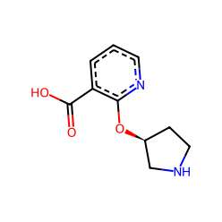 O=C(O)c1cccnc1O[C@H]1CCNC1